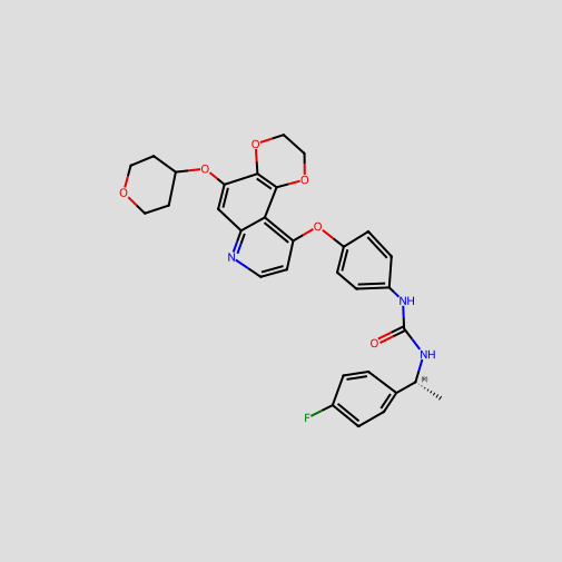 C[C@@H](NC(=O)Nc1ccc(Oc2ccnc3cc(OC4CCOCC4)c4c(c23)OCCO4)cc1)c1ccc(F)cc1